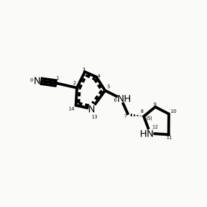 N#Cc1ccc(NC[C@@H]2CCCN2)nc1